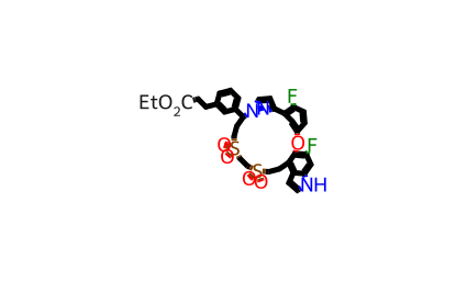 CCOC(=O)CCc1cccc(C2CCS(=O)(=O)CCS(=O)(=O)CCc3c(c(F)cc4[nH]ccc34)Oc3ccc(F)c(c3)-c3ccn2n3)c1